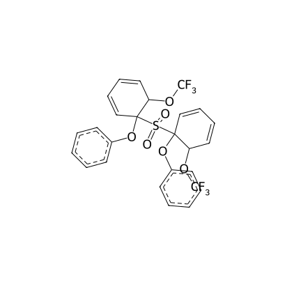 O=S(=O)(C1(Oc2ccccc2)C=CC=CC1OC(F)(F)F)C1(Oc2ccccc2)C=CC=CC1OC(F)(F)F